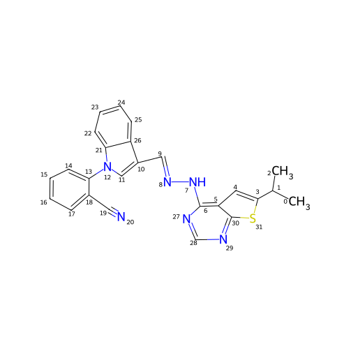 CC(C)c1cc2c(NN=Cc3cn(-c4ccccc4C#N)c4ccccc34)ncnc2s1